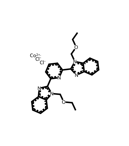 CCOCn1c(-c2cccc(-c3nc4ccccc4n3COCC)n2)nc2ccccc21.[Cl-].[Cl-].[Co+2]